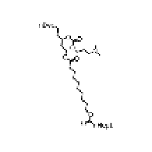 CCCCCCCCCCCCC(CCOC(=O)CCCCCCCCCOC(=O)CCCCCCC)OC(=O)OCCCN(C)C